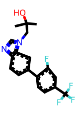 CC(C)(O)Cn1cnc2ccc(-c3ccc(C(F)(F)F)cc3F)cc21